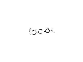 C[N+]1(CC(=O)O)CCC(C2CCN(c3ccc(C(=N)N)cc3)CC2)CC1